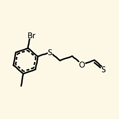 Cc1ccc(Br)c(SCCOC=S)c1